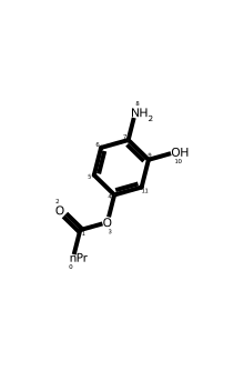 CCCC(=O)Oc1ccc(N)c(O)c1